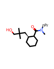 CCCN(C)C(=O)C1CCCC[C@H]1CC(C)(C)CO